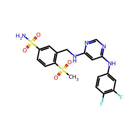 CS(=O)(=O)c1ccc(S(N)(=O)=O)cc1CNc1cc(Nc2ccc(F)c(F)c2)ncn1